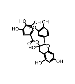 O=C(O[C@@]1(O)Cc2c(O)cc(O)cc2O[C@@H]1c1ccc(O)c(O)c1)c1cc(O)c(O)c(O)c1